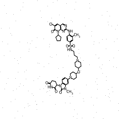 Cc1cc(S(=O)(=O)NCCCN2CCC(OC3CCN(c4ccc5c(c4)n(C)c(=O)n5C4CCC(=O)NC4=O)CC3)CC2)ccc1Nc1ncc2cc(Cl)c(=O)n(C3CCCC3)c2n1